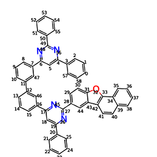 c1ccc(-c2cc(-c3cccc(-c4cccc(-c5cc(-c6ccccc6)nc(-c6ccc7oc8c9ccccc9ccc8c7c6)n5)c4)c3)nc(-c3ccccc3)n2)cc1